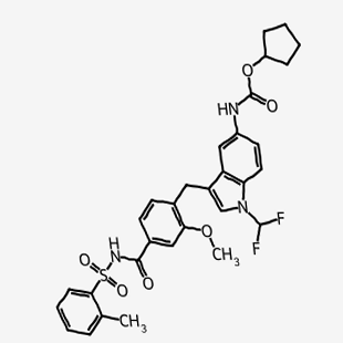 COc1cc(C(=O)NS(=O)(=O)c2ccccc2C)ccc1Cc1cn(C(F)F)c2ccc(NC(=O)OC3CCCC3)cc12